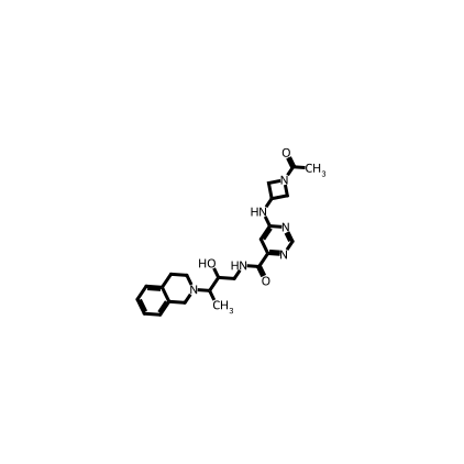 CC(=O)N1CC(Nc2cc(C(=O)NCC(O)C(C)N3CCc4ccccc4C3)ncn2)C1